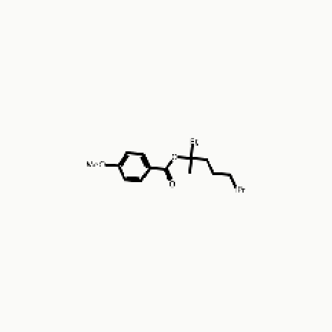 CCC(C)(CCCC(C)C)OC(=O)c1ccc(OC)cc1